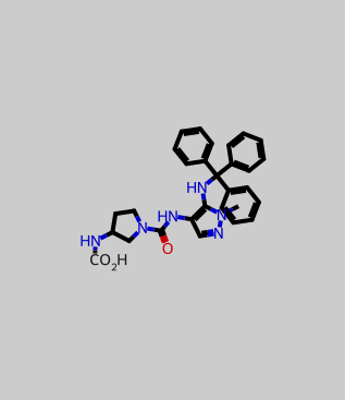 Cn1ncc(NC(=O)N2CCC(NC(=O)O)C2)c1NC(c1ccccc1)(c1ccccc1)c1ccccc1